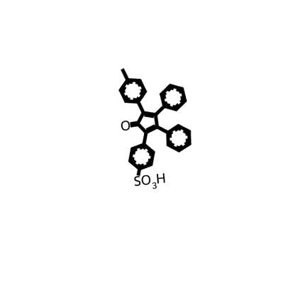 Cc1ccc(C2=C(c3ccccc3)C(c3ccccc3)=C(c3ccc(S(=O)(=O)O)cc3)C2=O)cc1